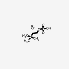 C[N+](C)(C)CCOP(=O)([O-])O.[Cl-].[K+]